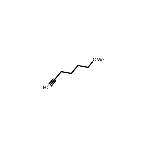 C#CCCCCOC